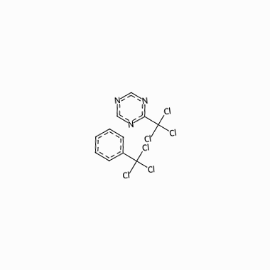 ClC(Cl)(Cl)c1ccccc1.ClC(Cl)(Cl)c1ncncn1